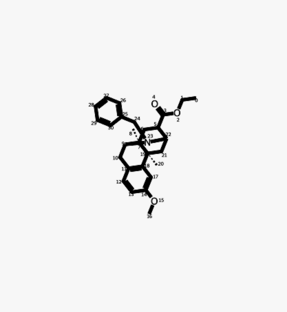 CCOC(=O)C1C[C@]2(C)C3Cc4ccc(OC)cc4[C@]2(C)CC1N3Cc1ccccc1